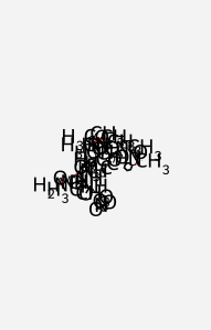 CC[C@H](C)[C@@H]([C@@H](CC(=O)N1CCC[C@H]1C[C@@H](C)C(=O)N[C@H](C)Cc1ccccc1)OC)N(C)C(=O)[C@@H](NC(=O)[C@H](C(C)C)N(C)C(=O)OCc1ccc(NC(=O)[C@H](CCCNC(N)=O)NC(=O)[C@@H](NC(=O)CCCC(=O)ON2C(=O)CCC2=O)C(C)C)cc1)C(C)C